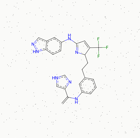 C=C(Nc1cccc(CCC2N=C(Nc3ccc4[nH]ncc4c3)C=C2C(F)(F)F)c1)c1c[nH]cn1